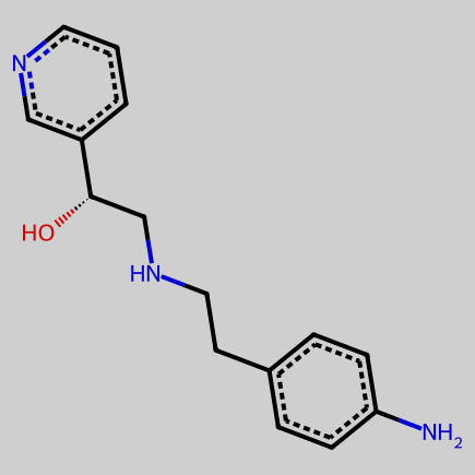 Nc1ccc(CCNC[C@H](O)c2cccnc2)cc1